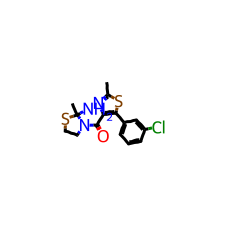 Cc1nc(C(=O)N2CCSC2(C)N)c(-c2cccc(Cl)c2)s1